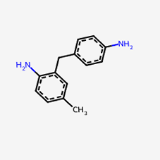 Cc1ccc(N)c(Cc2ccc(N)cc2)c1